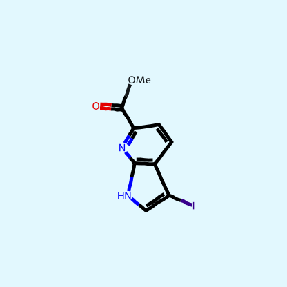 COC(=O)c1ccc2c(I)c[nH]c2n1